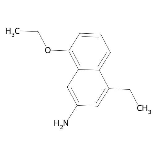 CCOc1cccc2c(CC)cc(N)cc12